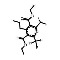 CCCc1c(C(=O)OCC)c(C(F)F)nc(C(F)(F)F)c1C(=O)OCC